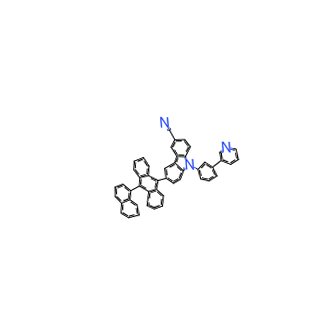 N#Cc1ccc2c(c1)c1cc(-c3c4ccccc4c(-c4cccc5ccccc45)c4ccccc34)ccc1n2-c1cccc(-c2cccnc2)c1